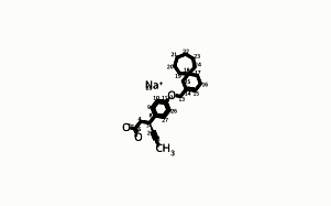 CC#C[C@@H](CC(=O)[O-])c1ccc(OCC2=CCCC3(CCCCCC3)C2)cc1.[Na+]